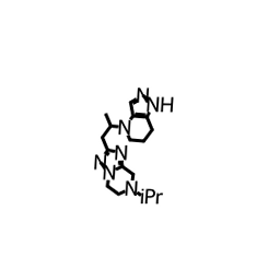 CC(C)N1CCn2nc(CC(C)N3CCCc4[nH]ncc43)nc2C1